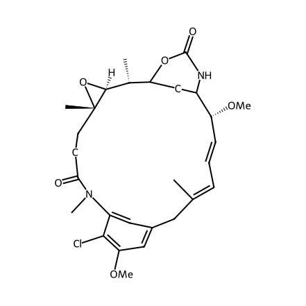 COc1cc2cc(c1Cl)N(C)C(=O)CC[C@]1(C)O[C@H]1[C@H](C)C1CC(NC(=O)O1)[C@H](OC)/C=C/C=C(\C)C2